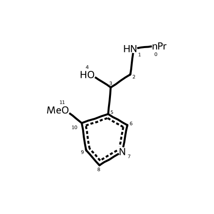 CCCNCC(O)c1cnccc1OC